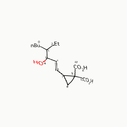 CCCCC(CC)C(O)/C=C/C1CC1(C(=O)O)C(=O)O